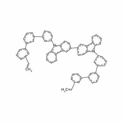 C=Cc1cccc(-c2cccc(-c3cccc(-n4c5ccccc5c5cc(-c6ccc7c(c6)c6ccccc6n7-c6cccc(-c7cccc(-c8cccc(C=C)c8)c7)c6)ccc54)c3)c2)c1